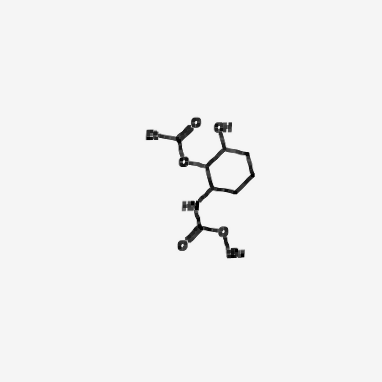 CCC(=O)OC1C(O)CCCC1NC(=O)OC(C)(C)C